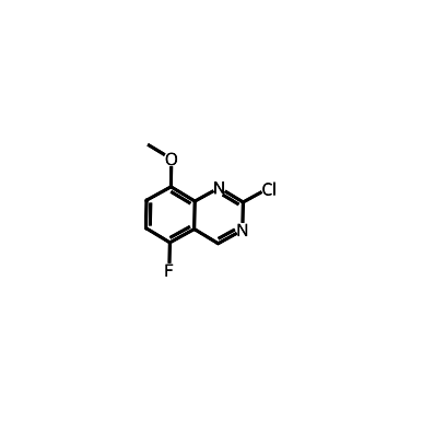 COc1ccc(F)c2cnc(Cl)nc12